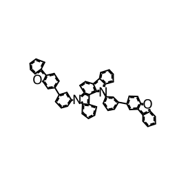 c1cc(-c2ccc3c(c2)oc2ccccc23)cc(-n2c3ccccc3c3c2ccc2c4ccccc4n(-c4cccc(-c5ccc6oc7ccccc7c6c5)c4)c23)c1